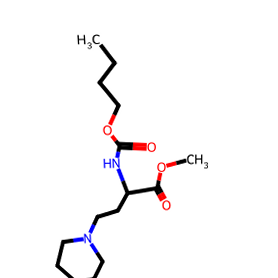 CCCCOC(=O)NC(CCN1CCCCC1)C(=O)OC